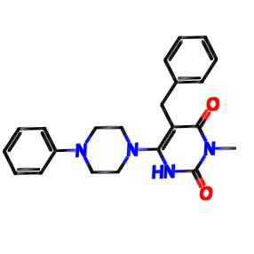 Cn1c(=O)[nH]c(N2CCN(c3ccccc3)CC2)c(Cc2ccccc2)c1=O